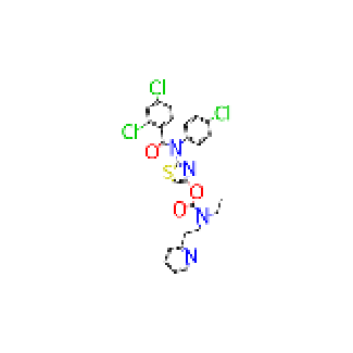 CCN(CCc1ccccn1)C(=O)Oc1csc(N(C(=O)c2ccc(Cl)cc2Cl)c2ccc(Cl)cc2)n1